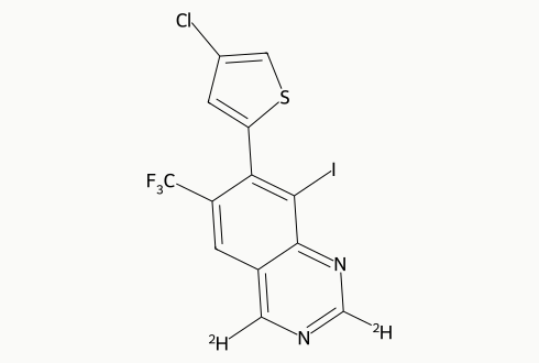 [2H]c1nc([2H])c2cc(C(F)(F)F)c(-c3cc(Cl)cs3)c(I)c2n1